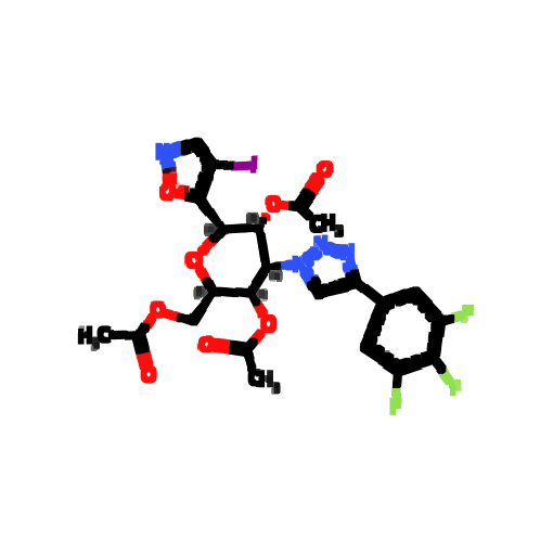 CC(=O)OC[C@H]1O[C@@H](c2oncc2I)[C@H](OC(C)=O)[C@@H](n2cc(-c3cc(F)c(F)c(F)c3)nn2)[C@H]1OC(C)=O